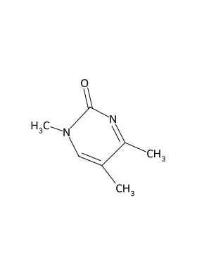 Cc1cn(C)c(=O)nc1C